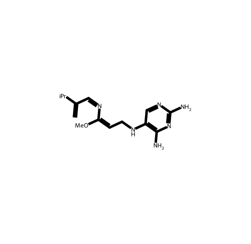 C=C(/C=N\C(=C/CNc1cnc(N)nc1N)OC)C(C)C